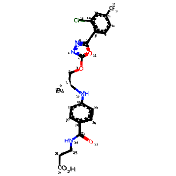 CC[C@H](C)[C@@H](COc1nnc(-c2ccc(C(F)(F)F)cc2Cl)o1)Nc1ccc(C(=O)NCCC(=O)O)cc1